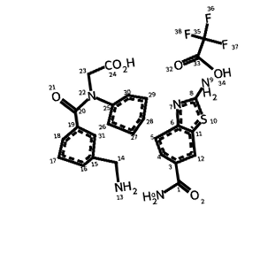 NC(=O)c1ccc2nc(N)sc2c1.NCc1cccc(C(=O)N(CC(=O)O)c2ccccc2)c1.O=C(O)C(F)(F)F